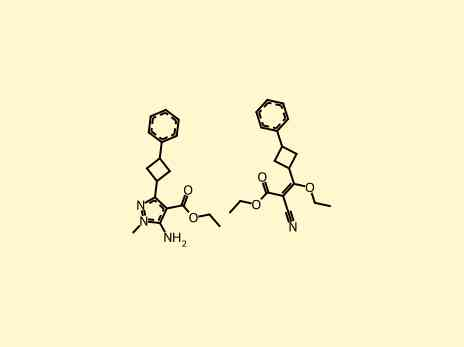 CCOC(=O)C(C#N)=C(OCC)C1CC(c2ccccc2)C1.CCOC(=O)c1c(C2CC(c3ccccc3)C2)nn(C)c1N